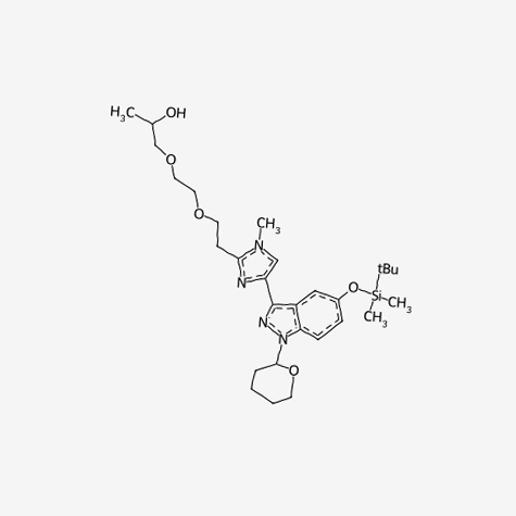 CC(O)COCCOCCc1nc(-c2nn(C3CCCCO3)c3ccc(O[Si](C)(C)C(C)(C)C)cc23)cn1C